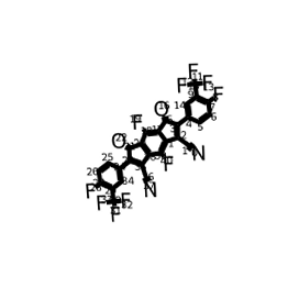 N#Cc1c(-c2ccc(F)c(C(F)(F)F)c2)c(=O)c2c(F)c3c(=O)c(-c4ccc(F)c(C(F)(F)F)c4)c(C#N)c3c(F)c12